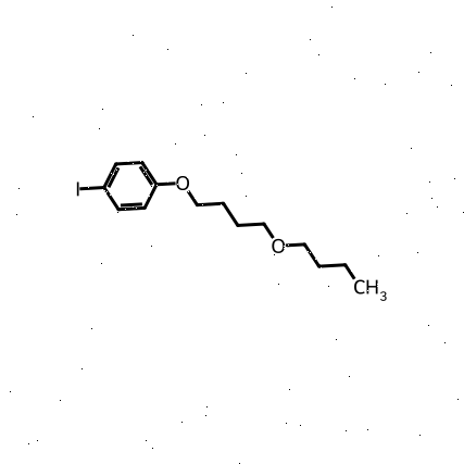 CCCCOCCCCOc1ccc(I)cc1